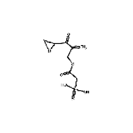 C=C(COC(=O)CP(=O)(O)O)C(=O)C1CO1